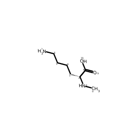 CN[C@H](CCCCN)C(=O)O